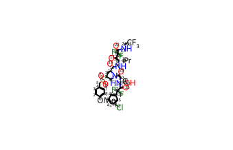 COc1ccc(CS(=O)(=O)[C@@H]2C[C@@H](C(=O)N[C@H](C(=O)C(F)(F)C(=O)NCC(F)(F)F)C(C)C)N(C(=O)[C@H](CO)NC(=O)C(F)(F)c3cccc(Cl)c3)C2)cc1